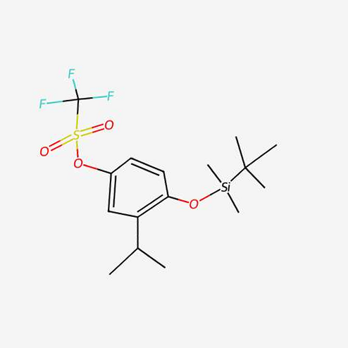 CC(C)c1cc(OS(=O)(=O)C(F)(F)F)ccc1O[Si](C)(C)C(C)(C)C